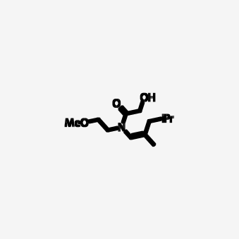 COCCN(C=C(C)CC(C)C)C(=O)CO